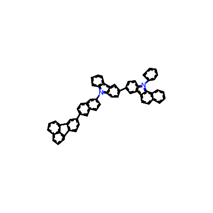 c1ccc(-n2c3ccc(-c4ccc5c(c4)c4ccccc4n5-c4ccc5cc(-c6ccc7c(c6)-c6cccc8cccc-7c68)ccc5c4)cc3c3ccc4ccccc4c32)cc1